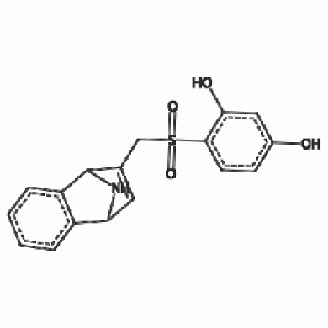 O=S(=O)(CC1=CC2NC1c1ccccc12)c1ccc(O)cc1O